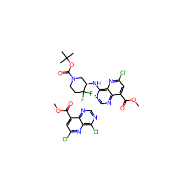 COC(=O)c1cc(Cl)nc2c(Cl)ncnc12.COC(=O)c1cc(Cl)nc2c(N[C@@H]3CN(C(=O)OC(C)(C)C)CCC3(F)F)ncnc12